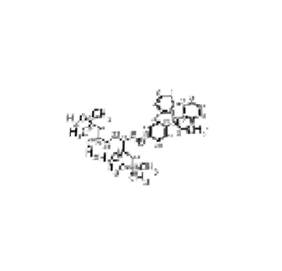 [CH2]C[Si](c1ccccc1)(c1ccccc1)c1ccc(OCC(CCC(C)CC(C)(C)C)C(C)CC(C)(C)C)cc1